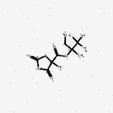 [3H]CC(C)(OC(=O)C1(O)CC(=O)NC1=O)C([3H])([3H])[3H]